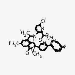 COC(=O)c1nc(Cl)ccc1NC(C)c1cc(C)cc2c(=O)n(C)c(-c3ccc(-c4ccc(F)cc4)nc3)cc12